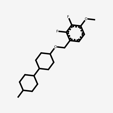 COc1ccc(COC2CCC(C3CCC(C)CC3)CC2)c(F)c1F